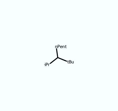 CCCCCC([C](C)C)C(C)(C)C